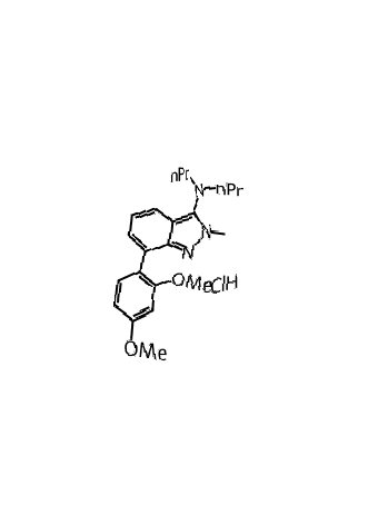 CCCN(CCC)c1c2cccc(-c3ccc(OC)cc3OC)c2nn1C.Cl